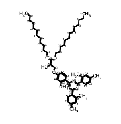 CCCCCCCCCCCCCOC(OCCCCCCCCCCCC)C(O)COc1ccc(-c2nc(-c3ccc(C)cc3C)nc(-c3ccc(C)cc3C)n2)c(O)c1